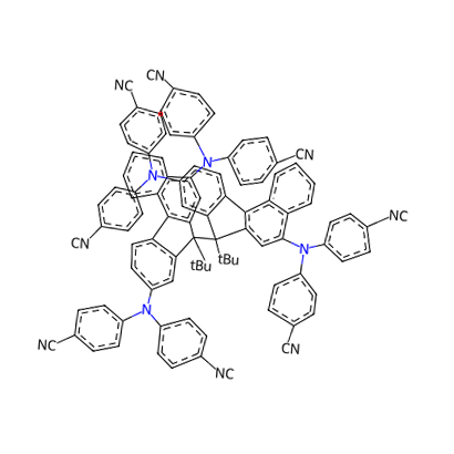 [C-]#[N+]c1ccc(N(c2ccc(C#N)cc2)c2ccc3c(c2)C(C(C)(C)C)(C2(C(C)(C)C)c4cc(N(c5ccc(C#N)cc5)c5ccc([N+]#[C-])cc5)ccc4-c4c2cc(N(c2ccc(C#N)cc2)c2ccc([N+]#[C-])cc2)c2ccccc42)c2cc(N(c4ccc(C#N)cc4)c4ccc([N+]#[C-])cc4)c4ccccc4c2-3)cc1